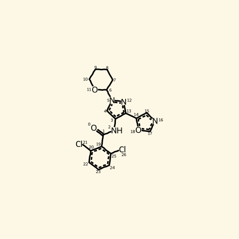 O=C(Nc1cn(C2CCCCO2)nc1-c1cnco1)c1c(Cl)cccc1Cl